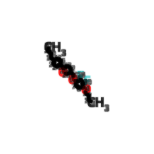 CCCCOc1ccc(OCC2CCC(c3ccc(CCCC)cc3)OC2)c(F)c1F